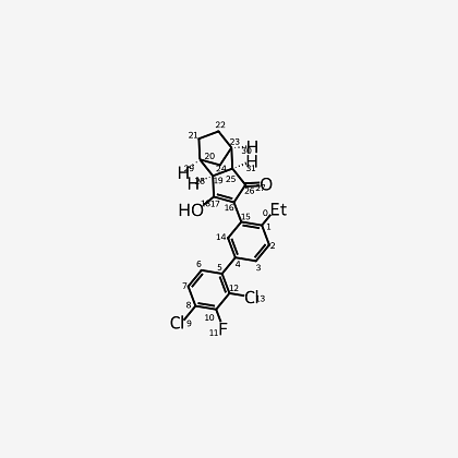 CCc1ccc(-c2ccc(Cl)c(F)c2Cl)cc1C1=C(O)[C@H]2[C@H]3CC[C@H](C3)[C@H]2C1=O